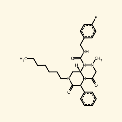 CCCCCCCN1C[C@H]2N(C(=O)CN(C)N2C(=O)NCc2ccc(F)cc2)C(c2ccccc2)C1=O